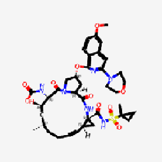 COc1ccc2c(O[C@@H]3C[C@H]4C(=O)N[C@]5(C(=O)NS(=O)(=O)C6(C)CC6)C[C@H]5C=CCC[C@H](C)C[C@@H](C)[C@H](NC(=O)O)C(=O)N4C3)nc(N3CCOCC3)cc2c1